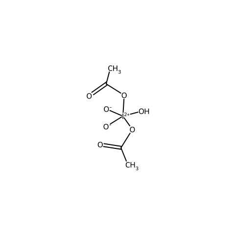 CC(=O)O[I+2]([O-])([O-])(O)OC(C)=O